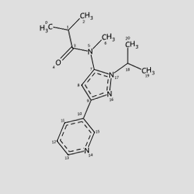 CC(C)C(=O)N(C)c1cc(-c2cccnc2)nn1C(C)C